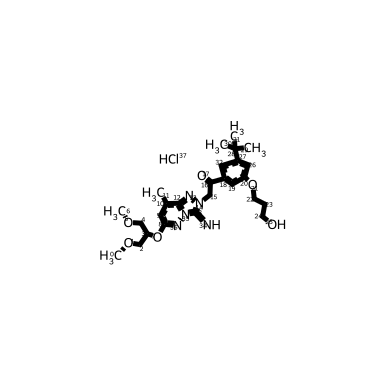 COCC(COC)Oc1cc(C)c2nn(CC(=O)c3cc(OCCCO)cc(C(C)(C)C)c3)c(=N)n2n1.Cl